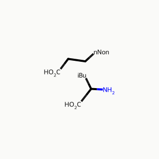 CCC(C)C(N)C(=O)O.CCCCCCCCCCCC(=O)O